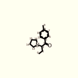 CCC(C(=O)c1ccc(C)cc1)N1CCCC1